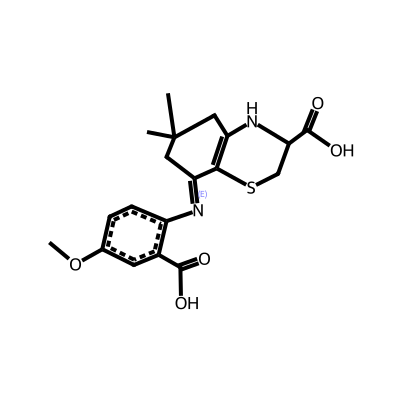 COc1ccc(/N=C2\CC(C)(C)CC3=C2SCC(C(=O)O)N3)c(C(=O)O)c1